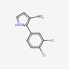 O=[N+]([O-])c1cc[nH]c1-c1ccc(Cl)c(Cl)c1